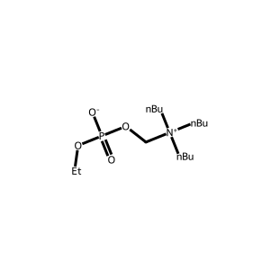 CCCC[N+](CCCC)(CCCC)COP(=O)([O-])OCC